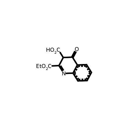 CCOC(=O)C1=Nc2ccccc2C(=O)C1C(=O)O